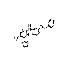 Cc1cnc(Nc2cccc(OCc3ccccc3)c2)nc1-c1nccs1